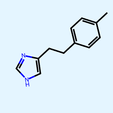 Cc1ccc(CCc2c[nH]cn2)cc1